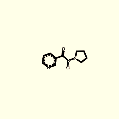 O=C(c1cccnc1)N(Cl)N1CCCC1